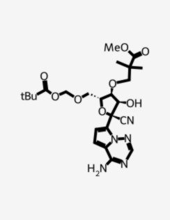 COC(=O)C(C)(C)CO[C@H]1[C@@H](O)[C@](C#N)(c2ccc3c(N)ncnn23)O[C@@H]1COCOC(=O)C(C)(C)C